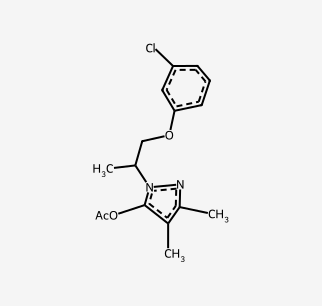 CC(=O)Oc1c(C)c(C)nn1C(C)COc1cccc(Cl)c1